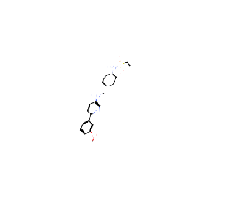 CCS(=O)(=O)N[C@H]1CC[C@H](CNc2ccc(-c3cccc(OC)c3)nc2)CC1